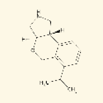 CC(C)c1cccc2c1CO[C@H]1CNC[C@H]21